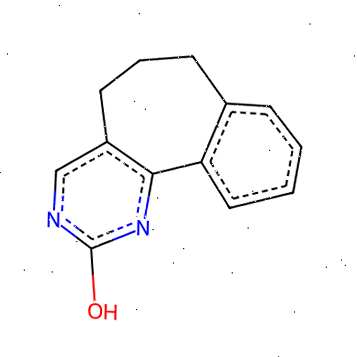 Oc1ncc2c(n1)-c1ccccc1CCC2